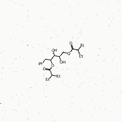 CCC(CC)C(=O)OCC(O)C(O)C(CC(C)C)OC(=O)C(CC)CC